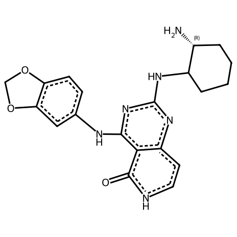 N[C@@H]1CCCCC1Nc1nc(Nc2ccc3c(c2)OCO3)c2c(=O)[nH]ccc2n1